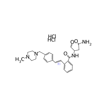 CN1CCN(Cc2ccc(/C=C/c3ccccc3C(=O)NC(C=O)CC(N)=O)cc2)CC1.Cl.Cl